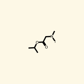 CC(C)OC(=O)CN(C)I